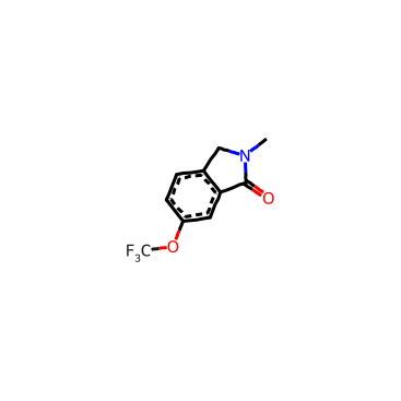 CN1Cc2ccc(OC(F)(F)F)cc2C1=O